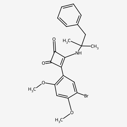 COc1cc(OC)c(-c2c(NC(C)(C)Cc3ccccc3)c(=O)c2=O)cc1Br